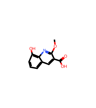 COc1nc2c(O)cccc2cc1C(=O)O